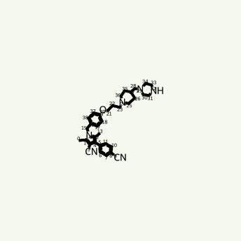 Cc1c(C#N)c(-c2ccc(C#N)cc2)c(C)n1Cc1ccc(OCCCN2CCC(CN3CCNCC3)CC2)cc1